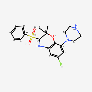 CC1(C)Oc2c(cc(F)cc2N2CCNCC2)NC1S(=O)(=O)c1ccccc1